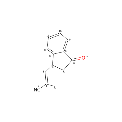 CC(C#N)=CC1CC(=O)c2ccccc21